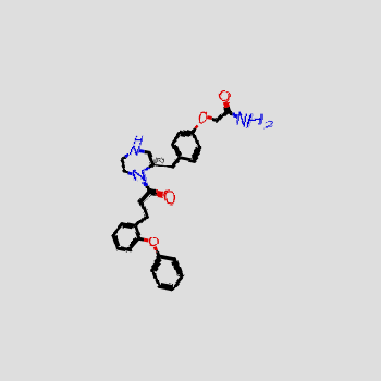 NC(=O)COc1ccc(C[C@@H]2CNCCN2C(=O)CCc2ccccc2Oc2ccccc2)cc1